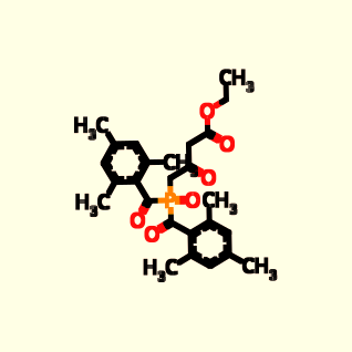 CCOC(=O)CC(=O)CP(=O)(C(=O)c1c(C)cc(C)cc1C)C(=O)c1c(C)cc(C)cc1C